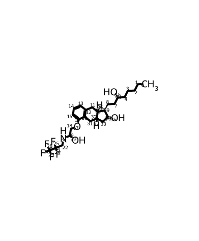 CCCCC[C@@H](O)CC[C@@H]1[C@H]2Cc3cccc(OCC(O)NCC(F)(F)C(F)(F)F)c3C[C@H]2C[C@H]1O